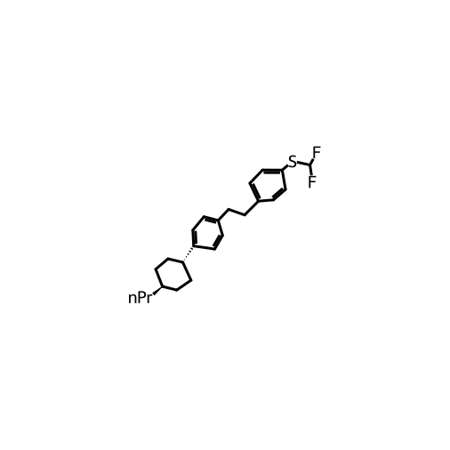 CCC[C@H]1CC[C@H](c2ccc(CCc3ccc(SC(F)F)cc3)cc2)CC1